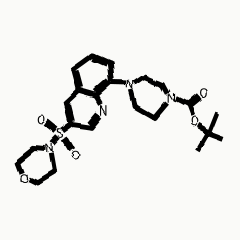 CC(C)(C)OC(=O)N1CCN(c2cccc3cc(S(=O)(=O)N4CCOCC4)cnc23)CC1